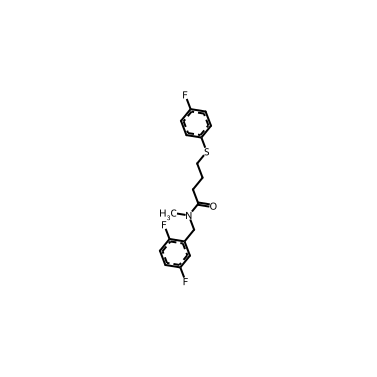 CN(Cc1cc(F)ccc1F)C(=O)CCCSc1ccc(F)cc1